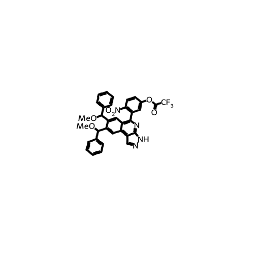 COC(c1ccccc1)c1cc2c(-c3cc(OC(=O)C(F)(F)F)ccc3[N+](=O)[O-])nc3[nH]ncc3c2cc1C(OC)c1ccccc1